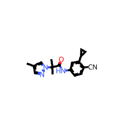 Cc1cnn(C(C)(C)C(=O)Nc2ccc(C#N)c(C3CC3)c2)c1